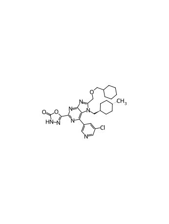 C[C@H]1CC[C@H](Cn2c(COCC3CCCCC3)nc3nc(-c4n[nH]c(=O)o4)nc(-c4cncc(Cl)c4)c32)CC1